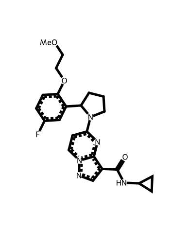 COCCOc1ccc(F)cc1C1CCCN1c1ccn2ncc(C(=O)NC3CC3)c2n1